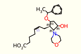 CC(O[C@H]1C[C@@H](O)[C@H](N2CCOCC2)[C@H]1C/C=C\CCCC(=O)O)c1ccccc1